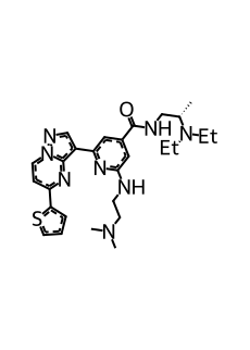 CCN(CC)[C@@H](C)CNC(=O)c1cc(NCCN(C)C)nc(-c2cnn3ccc(-c4cccs4)nc23)c1